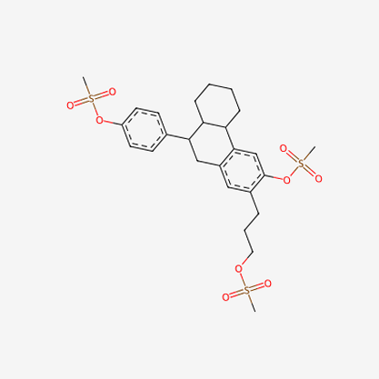 CS(=O)(=O)OCCCc1cc2c(cc1OS(C)(=O)=O)C1CCCCC1C(c1ccc(OS(C)(=O)=O)cc1)C2